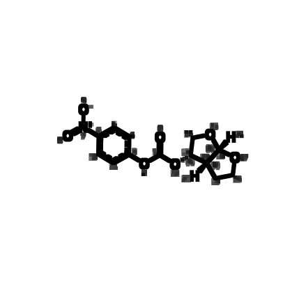 O=C(Oc1ccc([N+](=O)[O-])cc1)O[C@@H]1CO[C@@H]2OCC[C@@H]21